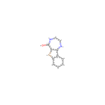 O=c1nccnc2c1sc1ccccc12